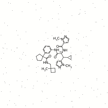 Cn1nccc1C(=O)N[C@H](C(=O)Nc1cccc(C2(C(=O)NCC3(C)CCC3)CCCC2)c1)C(c1ccnn1C)C1CC1